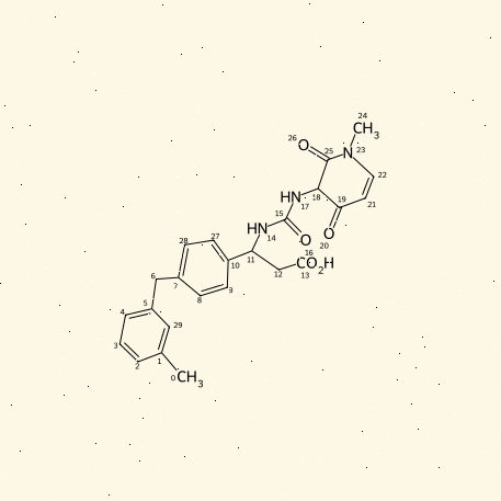 Cc1cccc(Cc2ccc(C(CC(=O)O)NC(=O)NC3C(=O)C=CN(C)C3=O)cc2)c1